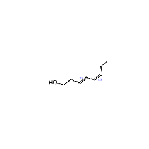 CC/C=C\C=C\CCO